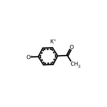 CC(=O)c1ccc([O-])cc1.[K+]